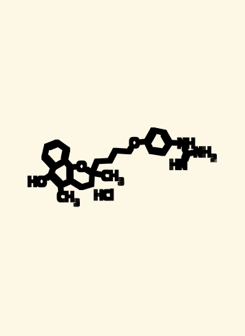 Cc1c2c(c3ccccc3c1O)OC(C)(CCCCOc1ccc(NC(=N)N)cc1)CC2.Cl